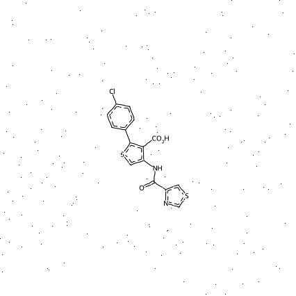 O=C(Nc1csc(-c2ccc(Cl)cc2)c1C(=O)O)c1cscn1